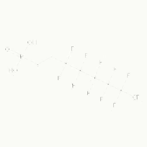 O=P(O)(O)CCC(F)(F)C(F)(F)C(F)(F)C(F)(F)C(F)(F)C(F)(F)F